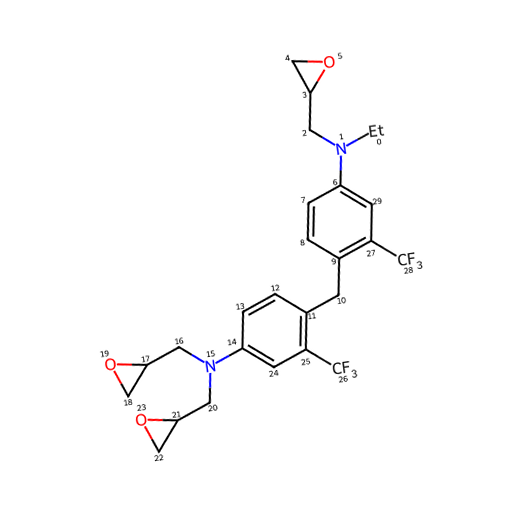 CCN(CC1CO1)c1ccc(Cc2ccc(N(CC3CO3)CC3CO3)cc2C(F)(F)F)c(C(F)(F)F)c1